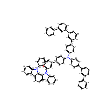 c1ccc(-c2cccc(-c3ccc(N(c4ccc(-c5cccc(-c6cccc(-c7ccccc7)c6)c5)cc4)c4ccc(-c5cccc(-n6c7ccccc7c7ccc8c9ccccc9n(-c9ccccc9)c8c76)c5)cc4)cc3)c2)cc1